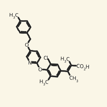 CC(C(=O)O)=C(C)c1cc(C)c(Oc2ccc(OCc3ccc(C)cc3)cn2)c(Cl)c1